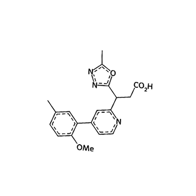 COc1ccc(C)cc1-c1ccnc(C(CC(=O)O)c2nnc(C)o2)c1